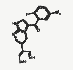 CN/C=C(\C=N)c1cnc2[nH]cc(C(=O)c3cc(N)ccc3F)c2c1